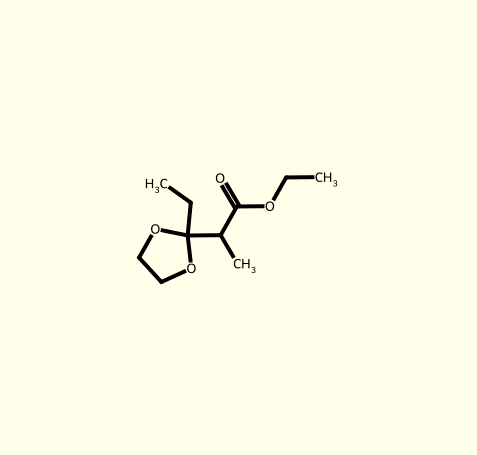 CCOC(=O)C(C)C1(CC)OCCO1